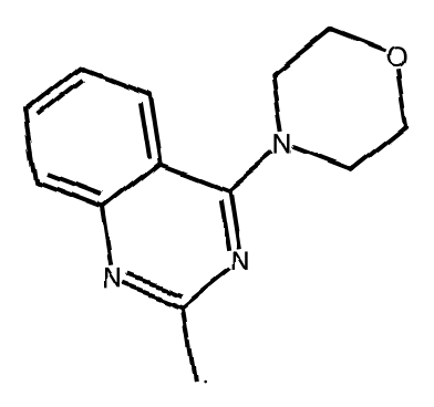 [CH2]c1nc(N2CCOCC2)c2ccccc2n1